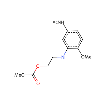 COC(=O)OCCNc1cc(NC(C)=O)ccc1OC